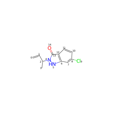 C=CC(C)n1[nH]c2cc(Cl)ccc2c1=O